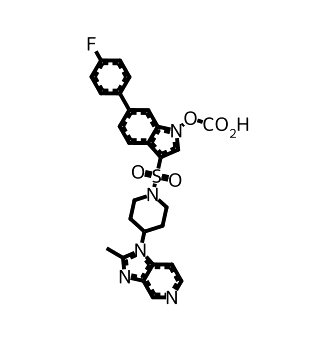 Cc1nc2cnccc2n1C1CCN(S(=O)(=O)c2cn(OC(=O)O)c3cc(-c4ccc(F)cc4)ccc23)CC1